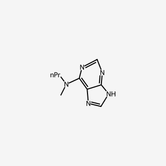 CCCN(C)c1ncnc2[nH]cnc12